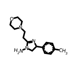 Cc1ccc(C2CN(N)C(CCN3CCOCC3)=N2)cc1